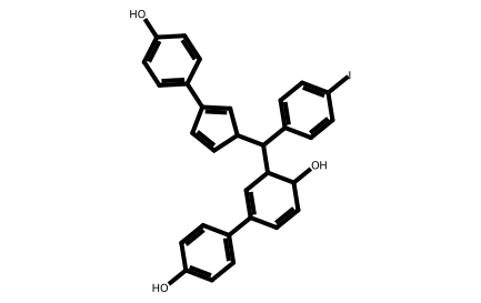 Oc1ccc(C2=CC(C(c3ccc(I)cc3)C3C=C(c4ccc(O)cc4)C=CC3O)C=C2)cc1